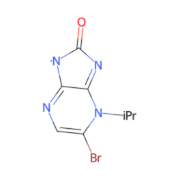 CC(C)N1C(Br)=CN=C2[N]C(=O)N=C21